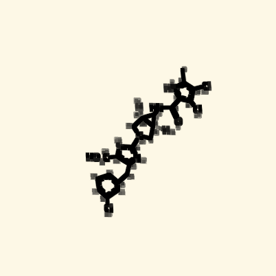 Cc1[nH]c(C(=O)NC2[C@H]3CN(c4nc(Cc5cccc(Cl)c5)c(C(=O)O)s4)C[C@@H]23)c(Cl)c1Cl